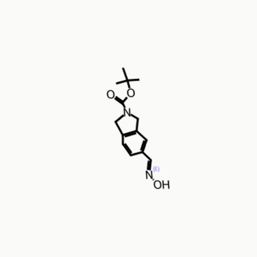 CC(C)(C)OC(=O)N1Cc2ccc(/C=N/O)cc2C1